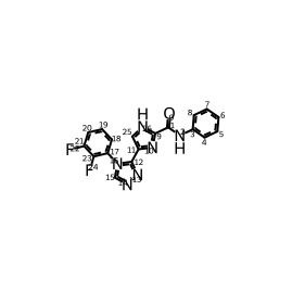 O=C(Nc1ccccc1)c1nc(-c2nncn2-c2cccc(F)c2F)c[nH]1